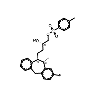 Cc1ccc(S(=O)(=O)OC[C@@H](O)CC[C@@H]2c3ccccc3Cc3ccc(F)cc3[C@H]2C)cc1